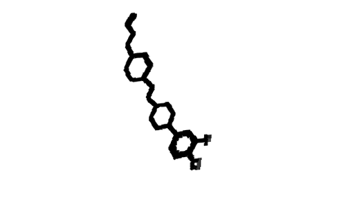 C=CCCC1CCC(CCC2CCC(c3ccc(Cl)c(F)c3)CC2)CC1